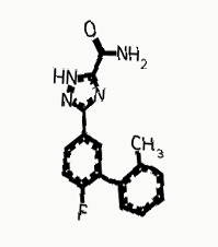 Cc1ccccc1-c1cc(-c2n[nH]c(C(N)=O)n2)ccc1F